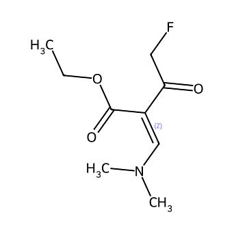 CCOC(=O)/C(=C\N(C)C)C(=O)CF